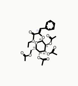 CCOC(=O)/C(=C/c1ccccc1)O[C@H]1O[C@@H](COC(C)=O)[C@@H](OC(C)=O)[C@@H](OC(C)=O)[C@@H]1OC(C)=O